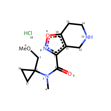 COCC1(N(C)C(=O)c2noc3c2CNCC3)CC1.Cl